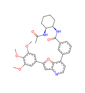 COc1cc(-c2cc3nccc(-c4cccc(C(=O)N[C@@H]5CCCC[C@@H]5NC(C)=O)c4)c3o2)cc(OC)c1OC